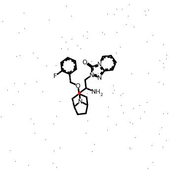 NC(CN1C2CCC1CC(OCc1ccccc1F)C2)Cn1nc2ccccn2c1=O